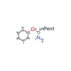 C=NC(CCCCC)Oc1ccccc1